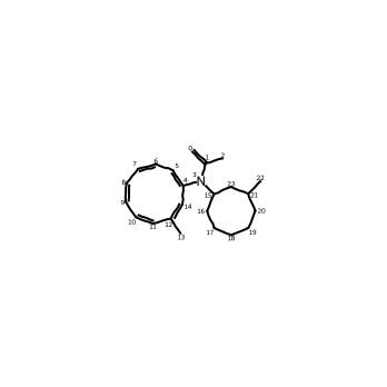 C=C(C)N(c1cccccccc(C)c1)C1CCCCCC(C)C1